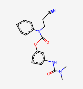 CN(C)C(=O)Nc1cccc(OC(=O)N(CCC#N)c2ccccc2)c1